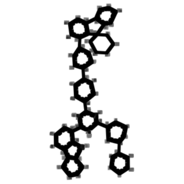 c1ccc(-c2cccc(-c3nc(-c4ccc(-c5ccc(-c6cccc7c6C6(CCCCC6)c6ccccc6-7)cc5)cc4)nc(-c4cccc5c4oc4ccccc45)n3)c2)cc1